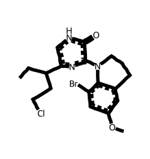 CCC(CCCl)c1c[nH]c(=O)c(N2CCCc3cc(OC)cc(Br)c32)n1